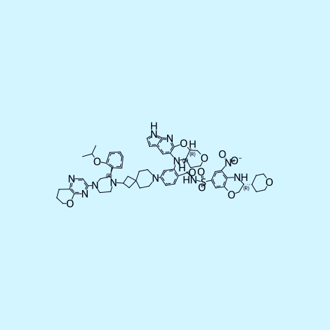 CC(C)Oc1ccccc1[C@@H]1CN(c2cnc3c(n2)OCCC3)CCN1C1CC2(CCN(c3ccc(C(=O)NS(=O)(=O)c4cc5c(c([N+](=O)[O-])c4)N[C@H](C4CCOCC4)CO5)c(N4c5cc6cc[nH]c6nc5O[C@H]5COCC[C@@H]54)c3)CC2)C1